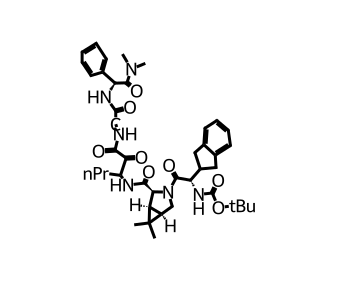 CCCC(NC(=O)[C@@H]1[C@H]2[C@@H](CN1C(=O)[C@@H](NC(=O)OC(C)(C)C)C1Cc3ccccc3C1)C2(C)C)C(=O)C(=O)NCC(=O)N[C@H](C(=O)N(C)C)c1ccccc1